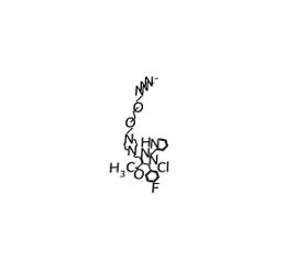 CC(=O)C1=C(CN2CCN(CCOCCOCCN=[N+]=[N-])CC2)NC(c2ccccn2)=NC1c1ccc(F)cc1Cl